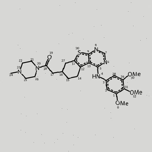 COc1cc(Nc2ncnc3sc4c(c23)CCC(CC(=O)N2CCN(C)CC2)C4)cc(OC)c1OC